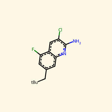 CC(C)(C)Cc1cc(F)c2cc(Cl)c(N)nc2c1